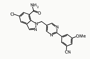 COc1cc(C#N)cc(-c2ncc(Cn3ncc4cc(Cl)cc(C(N)=O)c43)cn2)c1